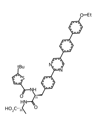 CCOc1ccc(-c2ccc(-c3cnc(-c4ccc(C[C@H](NC(=O)c5ccc(C(C)(C)C)s5)C(=O)N[C@H](C)C(=O)O)cc4)nc3)cc2)cc1